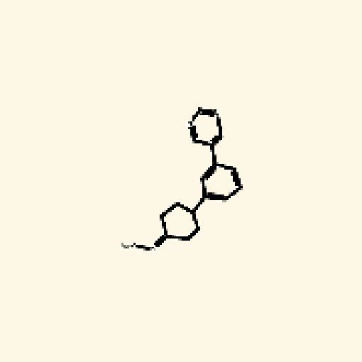 CON=C1CCC(c2cccc(-c3cncnc3)c2)CC1